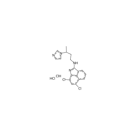 CC(CCNC1=Nc2c(Cl)cc(Cl)c3cccc1c23)n1ccnc1.Cl.Cl